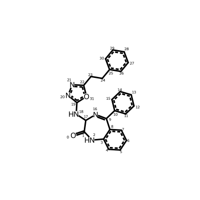 O=C1Nc2ccccc2C(c2ccccc2)=NC1Nc1nnc(CCc2ccccc2)o1